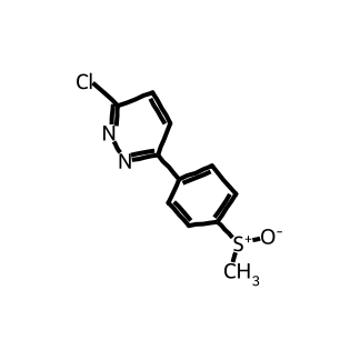 C[S+]([O-])c1ccc(-c2ccc(Cl)nn2)cc1